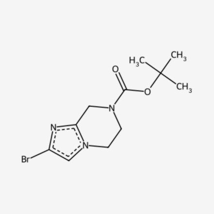 CC(C)(C)OC(=O)N1CCn2cc(Br)nc2C1